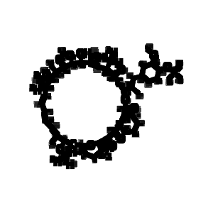 [2H]C([2H])([2H])O[C@H]1C[C@@H]2CC[C@@H](C)[C@@](O)(O2)C(=O)C(=O)N2CCCC[C@H]2C(=O)O[C@H]([C@H](C)C[C@@H]2CC[C@@H](OP(=C)(C)C)[C@H](OC)C2)CC(=O)[C@H](C([2H])([2H])[2H])/C=C(\C)[C@@H](O)[C@@H](OC)C(=O)[C@H](C)C([2H])(C)[C@]([2H])(C)/C=C/C=C/C=C/1C